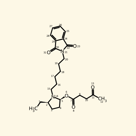 CC[C@@H]1CC[C@H](OC(=O)CCC(C)=O)N1CCCCCCN1C(=O)c2ccccc2C1=O